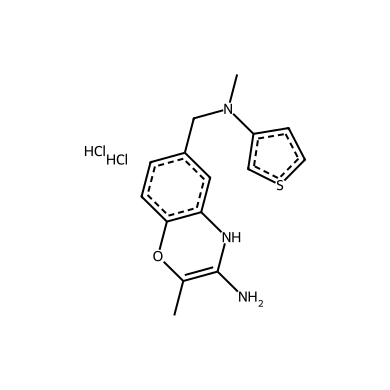 CC1=C(N)Nc2cc(CN(C)c3ccsc3)ccc2O1.Cl.Cl